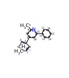 C/C=C\C(=C/C)c1cc(C)nc(-c2ccccc2)c1